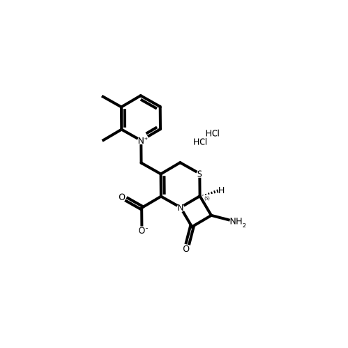 Cc1ccc[n+](CC2=C(C(=O)[O-])N3C(=O)C(N)[C@@H]3SC2)c1C.Cl.Cl